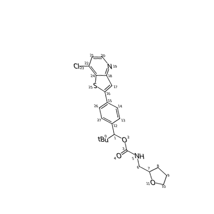 CC(C)(C)C(OC(=O)NCC1CCCO1)c1ccc(-c2cc3nccc(Cl)c3s2)cc1